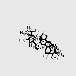 CN[C@@](C)(CO[C@H]1[C@H](n2ncnc2C(=O)NC(C)C)C[C@@]23COC[C@]1(C)[C@@H]2CC[C@H]1C3=CC(=O)[C@@]2(C)[C@H](C(=O)O)[C@@](C)([C@H](C)C(C)C)CC[C@]12C)C(C)C